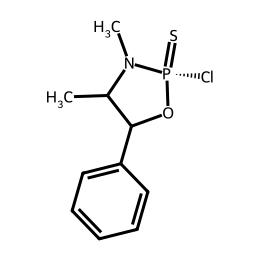 CC1C(c2ccccc2)O[P@@](=S)(Cl)N1C